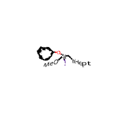 CCCCCCCC[Si](I)(OC)Oc1ccccc1